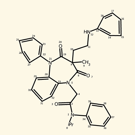 CC(C)N(C(=O)CN1C(=O)C(C)(CCNc2ccccc2)C(=O)N(c2ccccc2)c2ccccc21)c1ccccc1